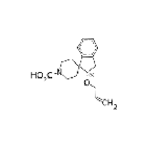 C=CCO[C@H]1Cc2ccccc2C12CCN(C(=O)O)CC2